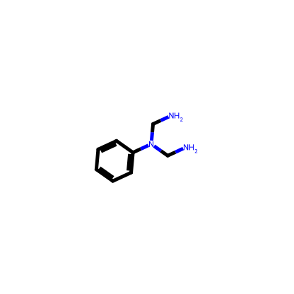 NCN(CN)c1ccccc1